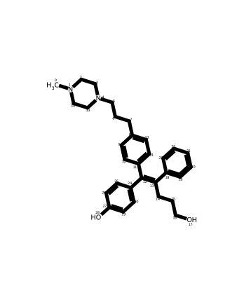 CN1CCN(CCCc2ccc(/C(=C(/CCCO)C3=C=C=CC=C3)c3ccc(O)cc3)cc2)CC1